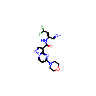 N=C/C(=C/C(F)F)NC(=O)c1cnn2ccc(N3CCOCC3)nc12